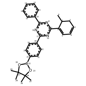 CC1CC=CC=C1c1nc(-c2ccccc2)nc(-c2ccc(B3OC(C)(C)C(C)(C)O3)cc2)n1